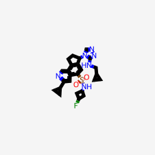 O=S(=O)(NC1CC(F)C1)c1cc2c(c3cnc(C4CC4)cc13)CCC2n1cnnc1NCC1CC1